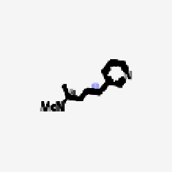 CN[C@H](C)C/C=C/c1cccnc1